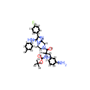 Cc1ccc(Nc2c(-c3ccc(F)cc3)nc3n2CCN(C(=O)C(C)(Cc2cccc(N)c2)NC(=O)OC(C)(C)C)C3)cc1